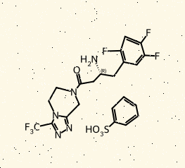 N[C@@H](CC(=O)N1CCn2c(nnc2C(F)(F)F)C1)Cc1cc(F)c(F)cc1F.O=S(=O)(O)c1ccccc1